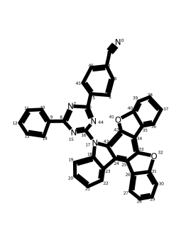 N#Cc1ccc(-c2nc(-c3ccccc3)nc(-n3c4ccccc4c4c5c6ccccc6oc5c5c6ccccc6oc5c43)n2)cc1